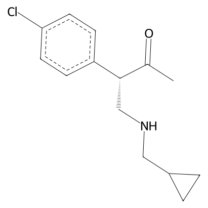 CC(=O)[C@H](CNCC1CC1)c1ccc(Cl)cc1